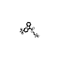 C[N+](C)([O-])CCOC(=O)c1c2ccccc2n2cc(S(C)(=O)=O)ccc12